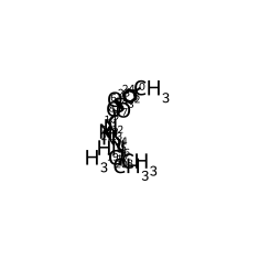 Cc1ccc(S(=O)(=O)OCCn2cc(CNCC(C)(C)C)nn2)cc1